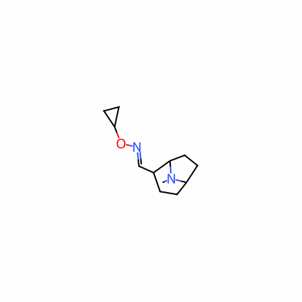 CN1C2CCC(C=NOC3CC3)C1CC2